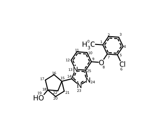 Cc1cccc(Cl)c1Oc1cccn2c(C34CCC(O)(CC3)C4)nnc12